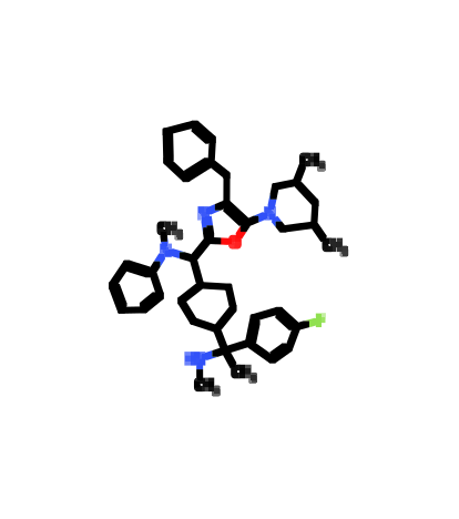 CNC(C)(c1ccc(F)cc1)C1CCC(C(c2nc(Cc3ccccc3)c(N3CC(C)CC(C)C3)o2)N(C)c2ccccc2)CC1